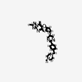 Cc1nc2nc(C)c(O[C@@H]3CCN(c4cnc(-c5ccc(CN6CCN(C)CC6)cc5)nc4)C3)c(C)n2n1